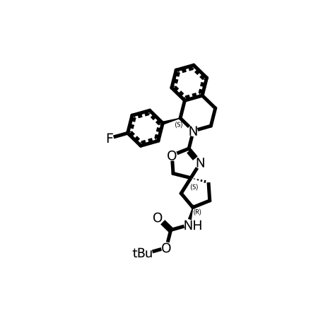 CC(C)(C)OC(=O)N[C@@H]1CC[C@@]2(COC(N3CCc4ccccc4[C@@H]3c3ccc(F)cc3)=N2)C1